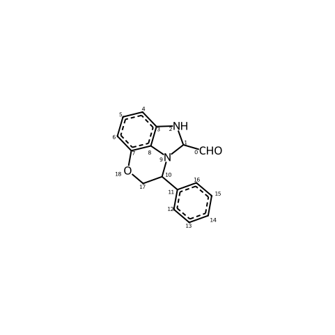 O=CC1Nc2cccc3c2N1C(c1ccccc1)CO3